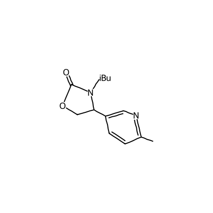 CCC(C)N1C(=O)OCC1c1ccc(C)nc1